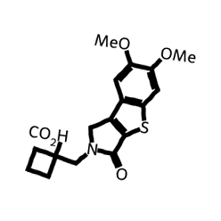 COc1cc2sc3c(c2cc1OC)CN(CC1(C(=O)O)CCC1)C3=O